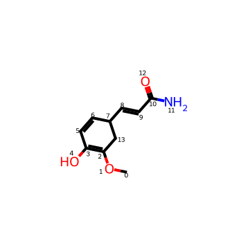 COC1=C(O)C=CC(C=CC(N)=O)C1